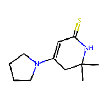 CC1(C)CC(N2CCCC2)=CC(=S)N1